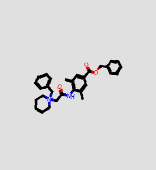 Cc1cc(C(=O)OCc2ccccc2)cc(C)c1NC(=O)C[N+]1(Cc2ccccc2)CCCCC1